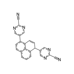 N#Cc1ncc(-c2ccc3cccc4c3c2C=CC4c2cnc(C#N)nc2)cn1